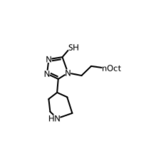 CCCCCCCCCCn1c(S)nnc1C1CCNCC1